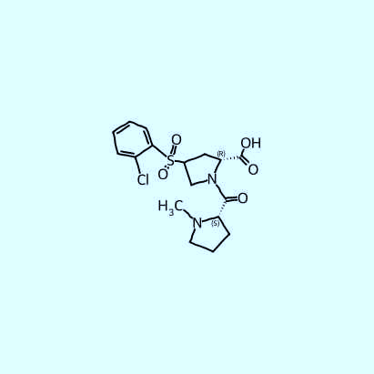 CN1CCC[C@H]1C(=O)N1CC(S(=O)(=O)c2ccccc2Cl)C[C@@H]1C(=O)O